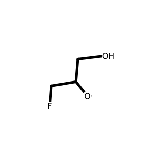 [O]C(CO)CF